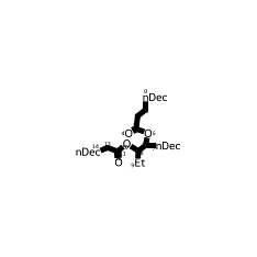 CCCCCCCCCCCCC(=O)OC(CCCCCCCCCC)C(CC)OC(=O)CCCCCCCCCCC